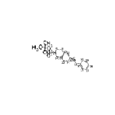 CC(C)(C)OC(=O)N1CCc2cc(SCc3ccccc3)ccc2C1